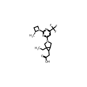 CCC12CN(c3cc(C(F)(F)F)nc(N4CC[C@@H]4C)n3)CC1C2CC(=O)O